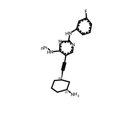 CCCNc1nc(Nc2cccc(F)c2)ncc1C#C[C@@H]1CCC[C@H](N)C1